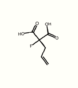 C=CCC(F)(C(=O)O)C(=O)O